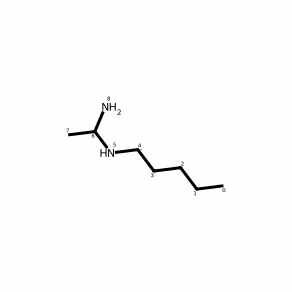 CCCC[CH]NC(C)N